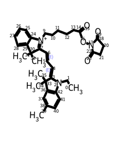 CCN1/C(=C/C=C/C2=[N+](CCCCCC(=O)ON3C(=O)CCC3=O)c3ccccc3C2(C)C)C(C)(C)c2cc(C)ccc21